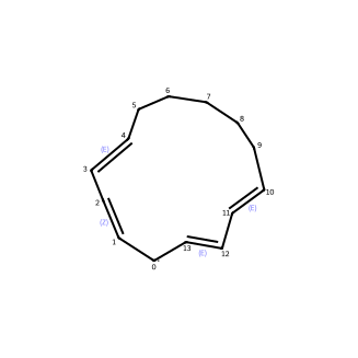 [CH]1/C=C\C=C\CCCCC/C=C/C=C/1